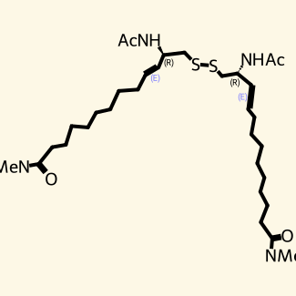 CNC(=O)CCCCCCCC/C=C/[C@H](CSSC[C@@H](/C=C/CCCCCCCCC(=O)NC)NC(C)=O)NC(C)=O